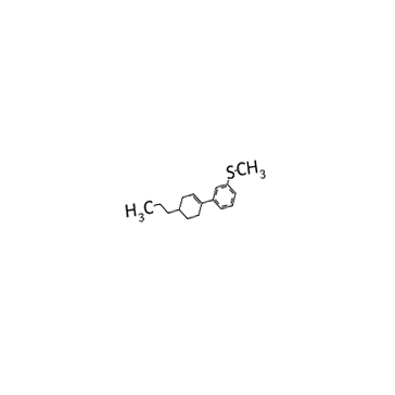 CCCC1CC=C(c2cccc(SC)c2)CC1